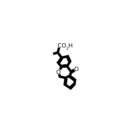 CC(C(=O)O)c1ccc2c(c1)OCc1ccccc1C2=O